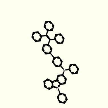 c1ccc(C(=C(c2ccccc2)c2cccc(-c3ccc(N(c4ccccc4)c4ccc5c(c4)c4ccccc4n5-c4ccccc4)cc3)c2)c2ccccc2)cc1